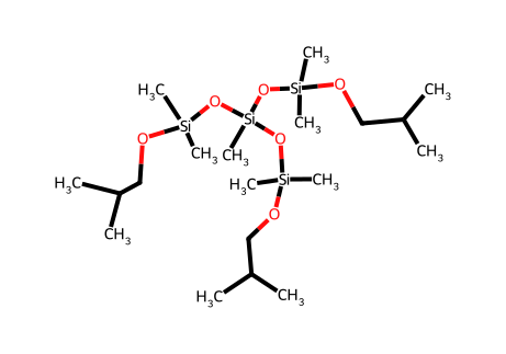 CC(C)CO[Si](C)(C)O[Si](C)(O[Si](C)(C)OCC(C)C)O[Si](C)(C)OCC(C)C